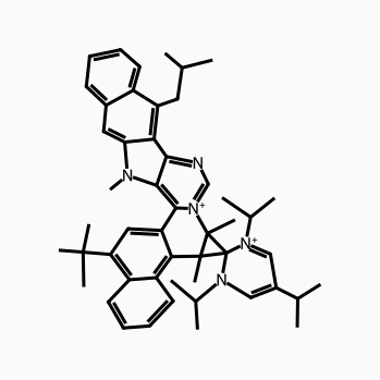 CC(C)Cc1c2ccccc2cc2c1c1nc[n+]3c(c1n2C)-c1cc(C(C)(C)C)c2ccccc2c1C1(C)C2(N(C(C)C)C=C(C(C)C)C=[N+]2C(C)C)C31C